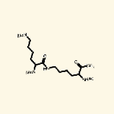 CNCCCCC(NC)C(=O)NCCCCC(NC(C)=O)C(N)=O